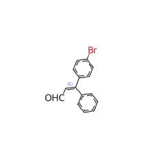 O=C/C=C(\c1ccccc1)c1ccc(Br)cc1